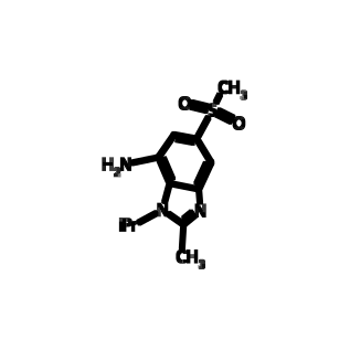 Cc1nc2cc(S(C)(=O)=O)cc(N)c2n1C(C)C